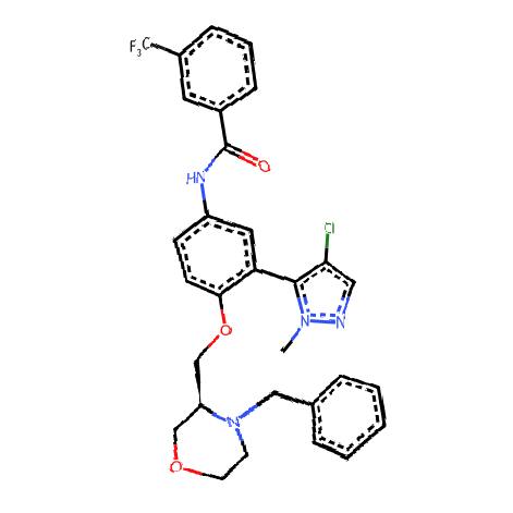 Cn1ncc(Cl)c1-c1cc(NC(=O)c2cccc(C(F)(F)F)c2)ccc1OC[C@@H]1COCCN1Cc1ccccc1